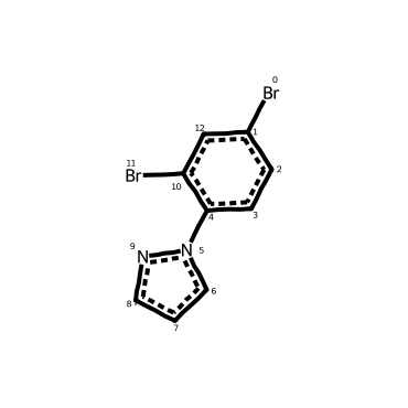 Brc1ccc(-n2cc[c]n2)c(Br)c1